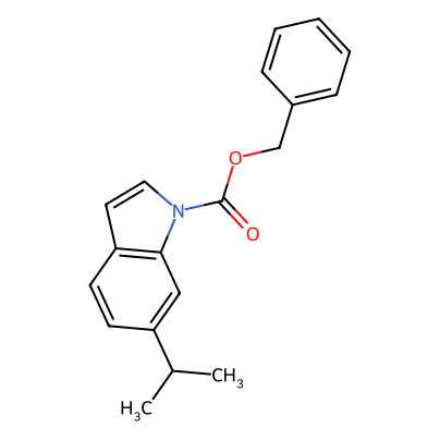 CC(C)c1ccc2ccn(C(=O)OCc3ccccc3)c2c1